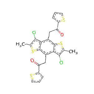 Cc1sc2c(CC(=O)c3cccs3)c3c(Cl)c(C)sc3c(CC(=O)c3cccs3)c2c1Cl